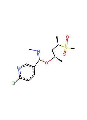 C/N=C(/O[C@H](C)C[C@@H](C)S(C)(=O)=O)c1ccc(Cl)nc1